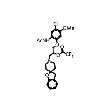 COc1cc(OC[C@H](CN2CCC3(CC2)Cc2ccccc2O3)OC(=O)C(F)(F)F)c(NC(C)=O)cc1Cl